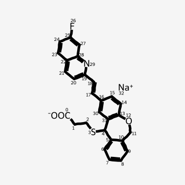 O=C([O-])CCSC1c2ccccc2COc2ccc(C=Cc3ccc4ccc(F)cc4n3)cc21.[Na+]